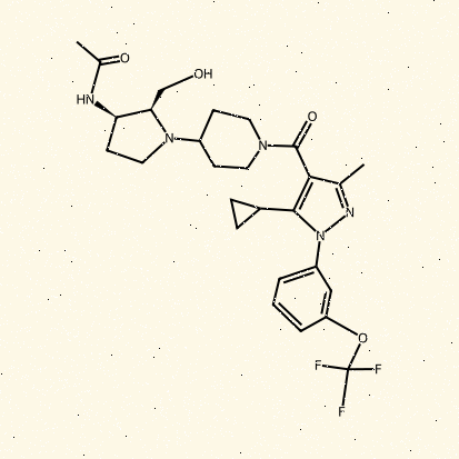 CC(=O)N[C@@H]1CCN(C2CCN(C(=O)c3c(C)nn(-c4cccc(OC(F)(F)F)c4)c3C3CC3)CC2)[C@@H]1CO